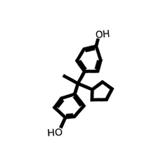 CC(c1ccc(O)cc1)(c1ccc(O)cc1)C1CCCC1